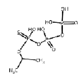 CC(C)OP(O)(=S)OP(=O)(O)OP(=O)(O)O